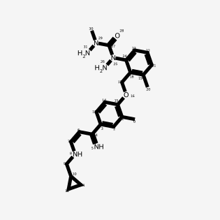 Cc1cc(C(=N)/C=C\NCC2CC2)ccc1OCc1c(C)cccc1N(N)C(=O)N(C)N